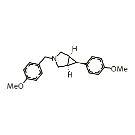 COc1ccc(CN2C[C@@H]3[C@H](C2)[C@@H]3c2ccc(OC)cc2)cc1